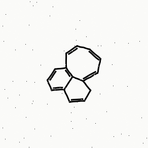 C1=CC=C2CC=Cc3cccc(c32)C=C1